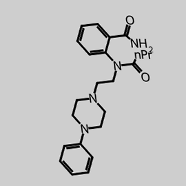 CCCC(=O)N(CCN1CCN(c2ccccc2)CC1)c1ccccc1C(N)=O